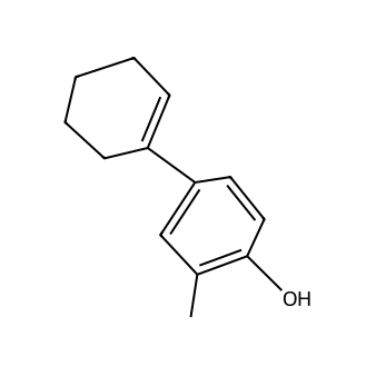 Cc1cc(C2=CCCCC2)ccc1O